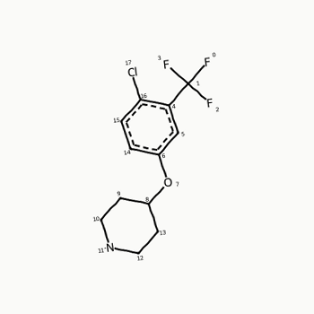 FC(F)(F)c1cc(OC2CC[N]CC2)ccc1Cl